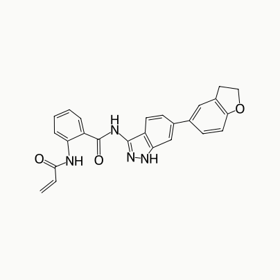 C=CC(=O)Nc1ccccc1C(=O)Nc1n[nH]c2cc(-c3ccc4c(c3)CCO4)ccc12